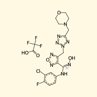 O/N=C(/Nc1ccc(F)c(Cl)c1)c1nonc1Cn1nnc(CN2CCOCC2)n1.O=C(O)C(F)(F)F